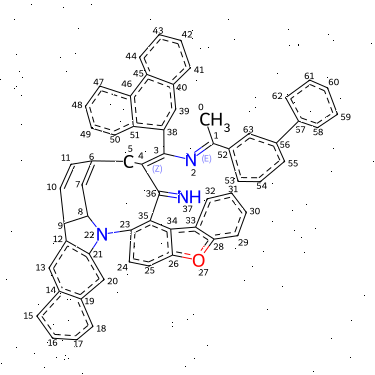 C/C(=N\C(=C1\CC2=CC3C(C=C2)c2cc4ccccc4cc2N3c2ccc3oc4ccccc4c3c2C1=N)c1cc2ccccc2c2ccccc12)c1cccc(-c2ccccc2)c1